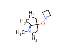 CCC(CC)(ON1CCC1)C(C)=NC